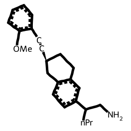 CCCC(CN)c1ccc2c(c1)CC[C@H](CCc1ccccc1OC)C2